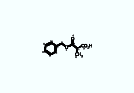 C[C@H](C(=O)O)C(=O)OCc1ccccc1